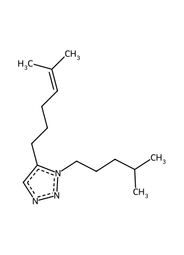 CC(C)=CCCCc1cnnn1CCCC(C)C